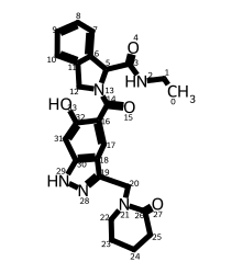 CCNC(=O)C1c2ccccc2CN1C(=O)c1cc2c(CN3CCCCC3=O)n[nH]c2cc1O